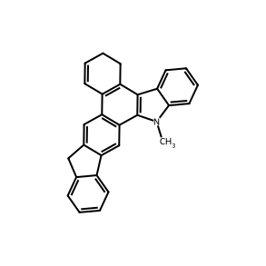 Cn1c2ccccc2c2c3c(c4cc5c(cc4c21)-c1ccccc1C5)C=CCC3